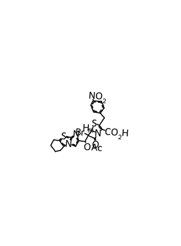 CC(=O)OC(c1cn2c3c(sc2n1)CCCC3)C1(Br)C(=O)N2C(C(=O)O)=C(Cc3ccc([N+](=O)[O-])cc3)S[C@@H]21